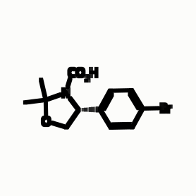 CC1(C)OC[C@@H](c2ccc(Br)cc2)N1C(=O)O